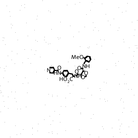 COc1ccccc1CNC(=O)[C@@H]1OCO[C@H]1C(=O)N[C@@H](Cc1ccc(NC(=O)c2ccncc2)cc1)C(=O)O